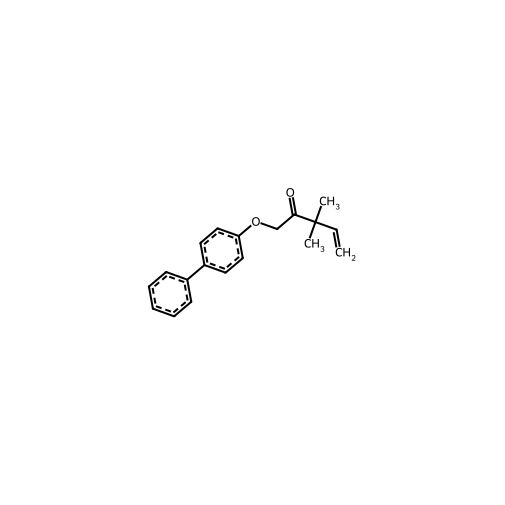 C=CC(C)(C)C(=O)COc1ccc(-c2ccccc2)cc1